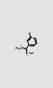 [CH2]c1cccc(C(OC)OC)c1